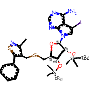 Cc1nsc(-c2ccccc2)c1CSC[C@H]1O[C@@H](n2cc(I)c3c(N)ncnc32)[C@H](O[Si](C)(C)C(C)(C)C)[C@@H]1O[Si](C)(C)C(C)(C)C